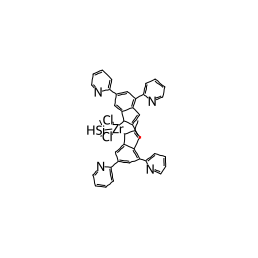 CC1=Cc2c(-c3ccccn3)cc(-c3ccccn3)cc2[CH]1[Zr]([Cl])([Cl])([CH]1C(C)=Cc2c(-c3ccccn3)cc(-c3ccccn3)cc21)[SiH](C)C